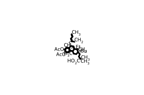 C=C/C(=C\C=C\C)SC1C=C2[C@@](C)(CC[C@@](CCC(C)(C)C(=O)O)(C(C)CC)[C@]2(C)CC)c2cc(OC(C)=O)c(OC(C)=O)c(C)c21